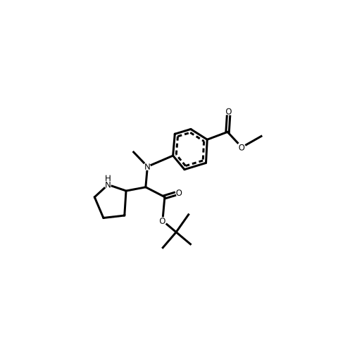 COC(=O)c1ccc(N(C)C(C(=O)OC(C)(C)C)C2CCCN2)cc1